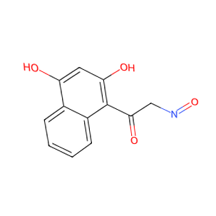 O=NCC(=O)c1c(O)cc(O)c2ccccc12